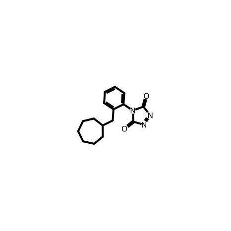 O=C1N=NC(=O)N1c1ccccc1CC1CCCCCC1